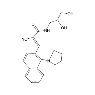 N#C/C(=C\c1ccc2ccccc2c1N1CCCC1)C(=O)NCC(O)CO